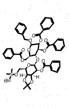 CC1(C)O[C@H]2[C@@H](O1)[C@@H](CO[Si](C)(C)C(C)(C)C)O[C@@H](O[C@H]1[C@H](OC(=O)c3ccccc3)[C@@H](OC(=O)c3ccccc3)[C@H](OCc3ccccc3)O[C@@H]1COC(=O)c1ccccc1)[C@@H]2OC(=O)c1ccccc1